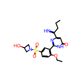 CCCC(=N)c1cc(=O)[nH]c(-c2cc(S(=O)(=O)N3CC(O)C3)ccc2OCC)n1